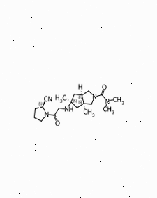 CN(C)C(=O)N1C[C@@H]2C[C@](C)(NCC(=O)N3CCC[C@H]3C#N)C[C@]2(C)C1